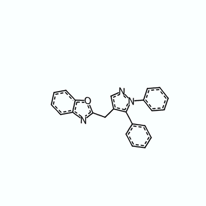 c1ccc(-c2c(Cc3nc4ccccc4o3)cnn2-c2ccccc2)cc1